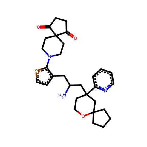 NC(Cc1ccsc1N1CCC2(CC1)C(=O)CCC2=O)CC1(c2ccccn2)CCOC2(CCCC2)C1